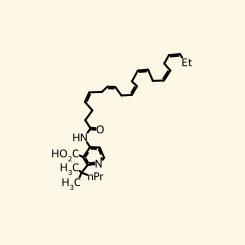 CC/C=C\C/C=C\C/C=C\C/C=C\C/C=C\C/C=C\CCC(=O)Nc1ccnc(C(C)(C)CCC)c1C(=O)O